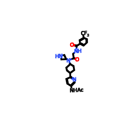 CC(=O)Nc1ccc(C2CCC(N(C(=O)CNC(=O)c3cccc(C(F)(F)F)c3)C3CNC3)CC2)nc1